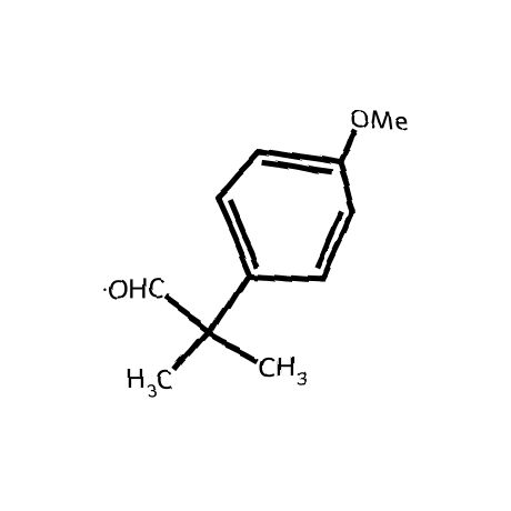 COc1ccc(C(C)(C)[C]=O)cc1